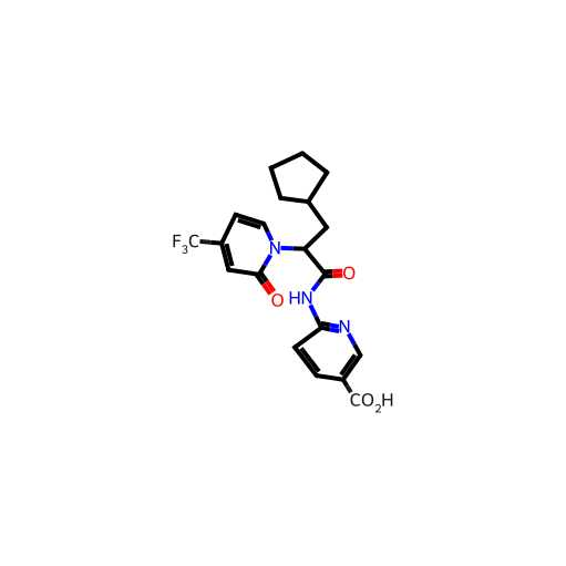 O=C(O)c1ccc(NC(=O)C(CC2CCCC2)n2ccc(C(F)(F)F)cc2=O)nc1